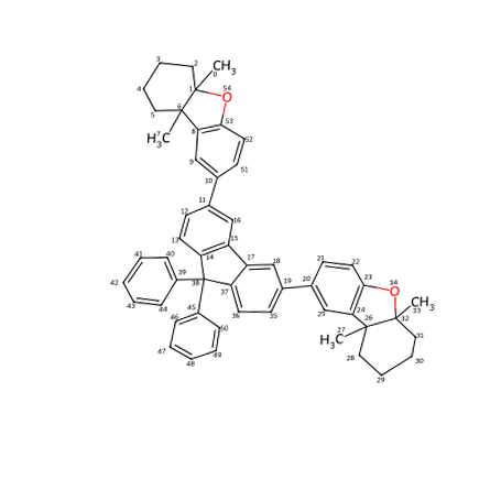 CC12CCCCC1(C)c1cc(-c3ccc4c(c3)-c3cc(-c5ccc6c(c5)C5(C)CCCCC5(C)O6)ccc3C4(c3ccccc3)c3ccccc3)ccc1O2